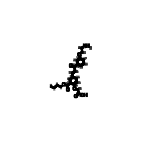 CCCCOC(=O)c1cc(/C=C/C(=O)c2cccc(OCCN)c2)ccc1OCC(=O)O